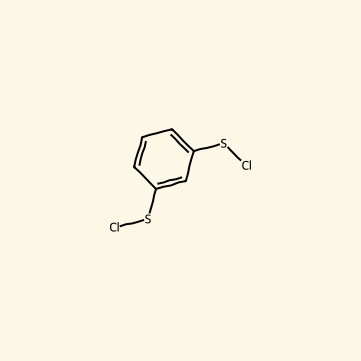 ClSc1cccc(SCl)c1